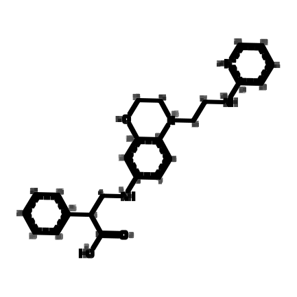 O=C(O)C(CNc1ccc2c(c1)OCCN2CCNc1ccccn1)c1ccccc1